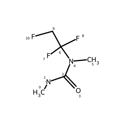 C[N]C(=O)N(C)C(F)(F)CF